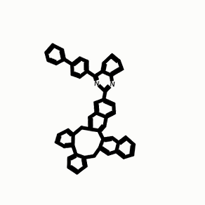 c1ccc(-c2ccc(-c3nc(-c4ccc5cc6c(cc5c4)Cc4ccccc4-c4ccccc4Cc4cc5ccccc5cc4-6)nc4ccccc34)cc2)cc1